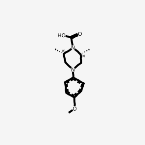 COc1ccc(N2C[C@@H](C)N(C(=O)O)[C@@H](C)C2)cc1